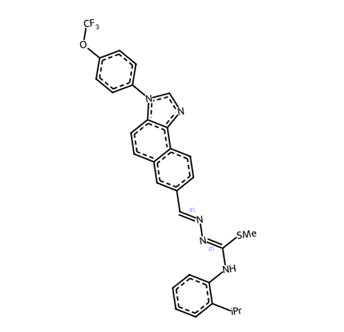 CS/C(=N\N=C\c1ccc2c(ccc3c2ncn3-c2ccc(OC(F)(F)F)cc2)c1)Nc1ccccc1C(C)C